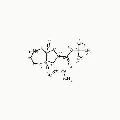 COC(=O)[C@@H]1[C@@H]2OCCNC[C@H]2CN1C(=O)OC(C)(C)C